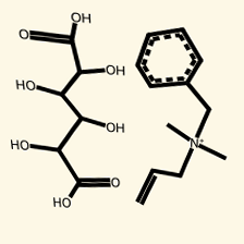 C=CC[N+](C)(C)Cc1ccccc1.O=C(O)C(O)C(O)C(O)C(O)C(=O)O